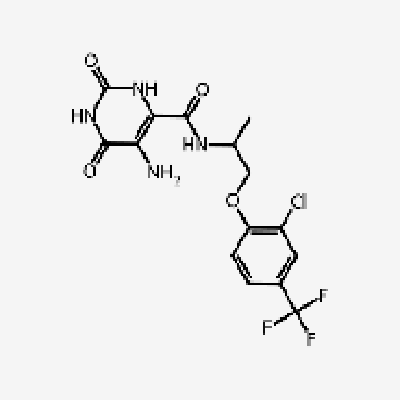 CC(COc1ccc(C(F)(F)F)cc1Cl)NC(=O)c1[nH]c(=O)[nH]c(=O)c1N